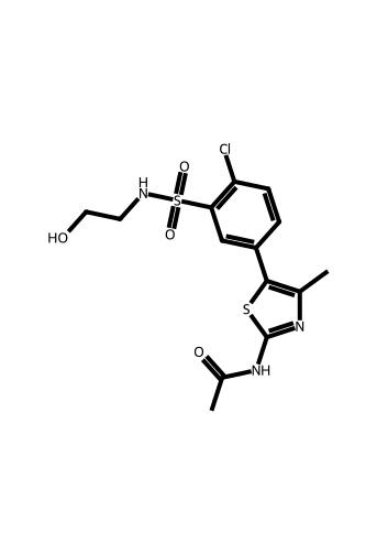 CC(=O)Nc1nc(C)c(-c2ccc(Cl)c(S(=O)(=O)NCCO)c2)s1